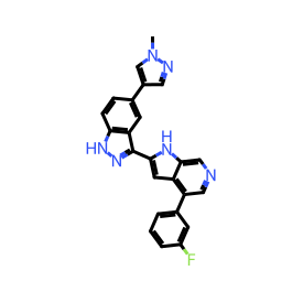 Cn1cc(-c2ccc3[nH]nc(-c4cc5c(-c6cccc(F)c6)cncc5[nH]4)c3c2)cn1